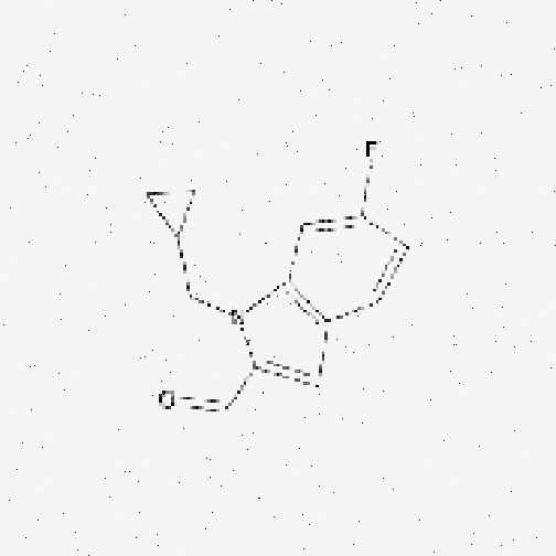 O=Cc1cc2ccc(F)cc2n1CC1CC1